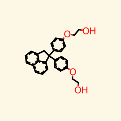 OCCOc1ccc(C2(c3ccc(OCCO)cc3)Cc3cccc4cccc2c34)cc1